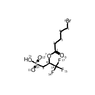 O=C(CCCCBr)OC(CS(=O)(=O)O)C(F)(F)F